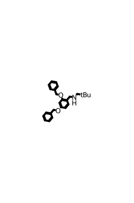 CC(C)(C)CNCc1ccc(OCc2ccccc2)cc1OCc1ccccc1